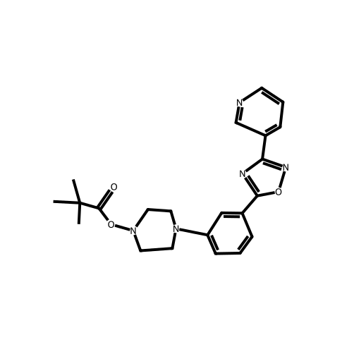 CC(C)(C)C(=O)ON1CCN(c2cccc(-c3nc(-c4cccnc4)no3)c2)CC1